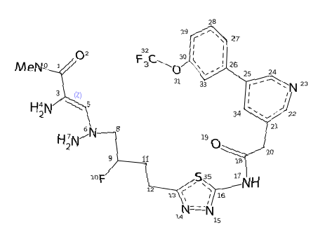 CNC(=O)/C(N)=C/N(N)CC(F)CCc1nnc(NC(=O)Cc2cncc(-c3cccc(OC(F)(F)F)c3)c2)s1